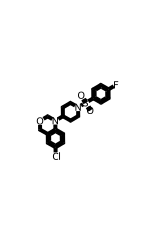 O=S(=O)(c1ccc(F)cc1)N1CCC(N2COCc3cc(Cl)ccc32)CC1